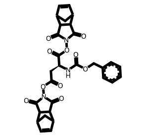 O=C(C[C@H](NC(=O)OCc1ccccc1)C(=O)ON1C(=O)C2C3C=CC(C3)C2C1=O)ON1C(=O)C2C3C=CC(C3)C2C1=O